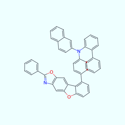 c1ccc(-c2nc3cc4oc5cccc(-c6ccc(N(c7ccc8ccccc8c7)c7ccccc7-c7ccccc7)cc6)c5c4cc3o2)cc1